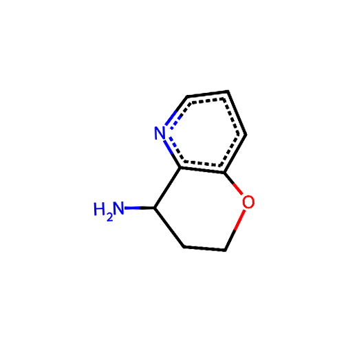 NC1CCOc2cccnc21